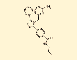 CCCNC(=O)c1ccc(-c2ccc(-c3ccccc3)n2Cc2cccc(N)n2)cc1